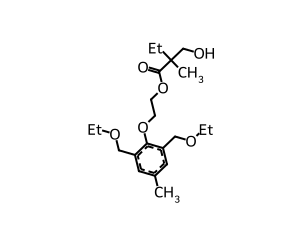 CCOCc1cc(C)cc(COCC)c1OCCOC(=O)C(C)(CC)CO